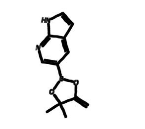 C=C1OB(c2cnc3[nH]ccc3c2)OC1(C)C